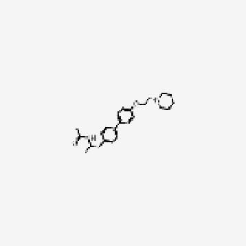 CC(=O)NC(C)Cc1ccc(-c2ccc(OCCN3CCCCC3)cc2)cc1